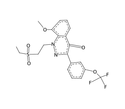 CCS(=O)(=O)CCn1nc(-c2cccc(OC(F)(F)F)c2)c(=O)c2cccc(OC)c21